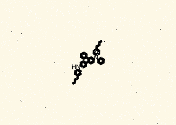 CCCCc1ccc(Nc2ccc(-c3ccc(N(c4ccccc4)c4ccc(CCCC)cc4)cc3-c3ccccc3)cc2)cc1